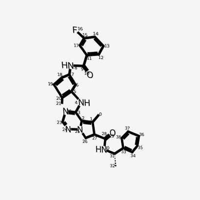 CC1=C2C(Nc3cc(NC(=O)c4cccc(F)c4)ccc3C)=NC=NN2CC1C(=O)N[C@@H](C)c1ccccc1